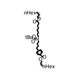 CCCCCC/C=C\COC(=O)CCCCCCCN(CCCCc1ccc(C(=O)OC/C=C\CCCCCC)cc1)C(=O)OC(C)(C)C